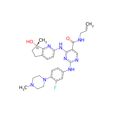 C=CCNC(=O)c1cnc(Nc2ccc(N3CCN(C)CC3)c(F)c2)nc1Nc1ccc2c(n1)[C@@](C)(O)CC2